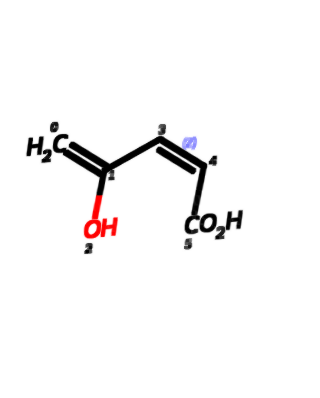 C=C(O)/C=C\C(=O)O